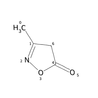 CC1=NOC(=O)C1